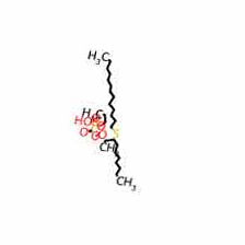 CCCCCCCCCCCCCSC(CCCCCCC)C(C)OOC(=O)P(=O)(O)OCCC